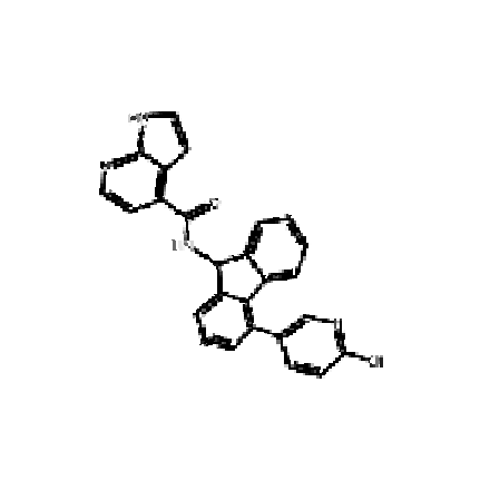 N#Cc1ccc(-c2cccc3c2-c2ccccc2C3NC(=O)c2ccnc3[nH]ccc23)cn1